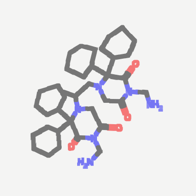 CC(CN1CC(=O)N(CN)C(=O)C1(C1CCCCC1)C1CCCCC1)N1CC(=O)N(CN)C(=O)C1(C1CCCCC1)C1CCCCC1